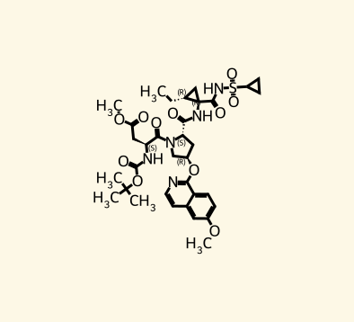 CC[C@@H]1C[C@]1(NC(=O)[C@@H]1C[C@@H](Oc2nccc3cc(OC)ccc23)CN1C(=O)[C@H](CC(=O)OC)NC(=O)OC(C)(C)C)C(=O)NS(=O)(=O)C1CC1